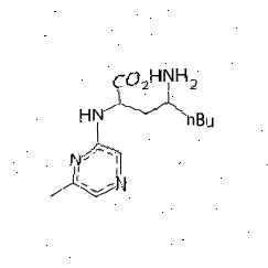 CCCCC(N)CC(Nc1cncc(C)n1)C(=O)O